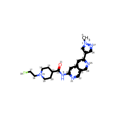 Cn1cc(-c2cc3cc(NC(=O)C4CCN(CCF)CC4)ncc3cn2)cn1